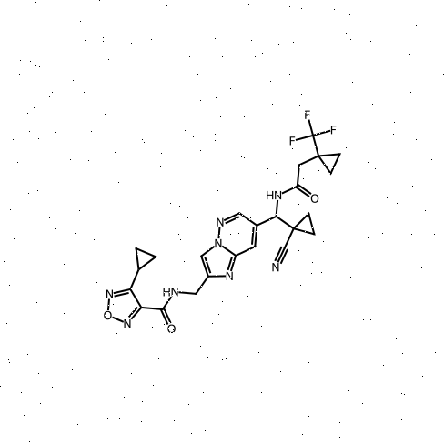 N#CC1(C(NC(=O)CC2(C(F)(F)F)CC2)c2cnn3cc(CNC(=O)c4nonc4C4CC4)nc3c2)CC1